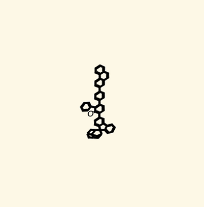 c1ccc2c(c1)-c1cc(-c3ccc(-c4ccc(-c5ccc6c(ccc7ccccc76)c5)cc4)c4c3oc3ccccc34)ccc1C21C2CC3CC(C2)CC1C3